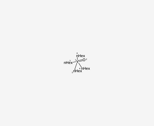 CCCCC[CH2][V](=[O])([CH2]CCCCC)([CH2]CCCCC)[CH2]CCCCC